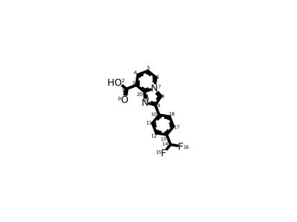 O=C(O)c1cccn2cc(-c3ccc(C(F)F)cc3)nc12